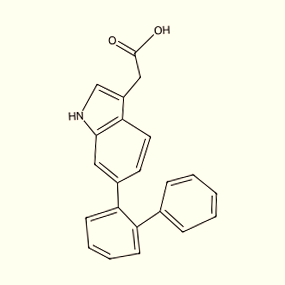 O=C(O)Cc1c[nH]c2cc(-c3ccccc3-c3ccccc3)ccc12